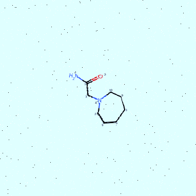 NC(=O)CN1CCCCCC1